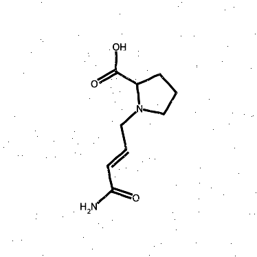 NC(=O)C=CCN1CCCC1C(=O)O